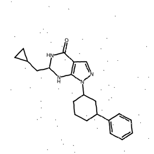 O=C1NC(CC2CC2)Nc2c1cnn2C1CCCC(c2ccccc2)C1